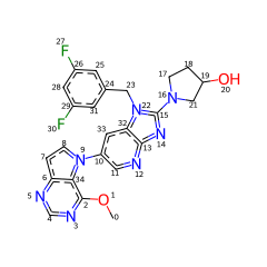 COc1ncnc2ccn(-c3cnc4nc(N5CCC(O)C5)n(Cc5cc(F)cc(F)c5)c4c3)c12